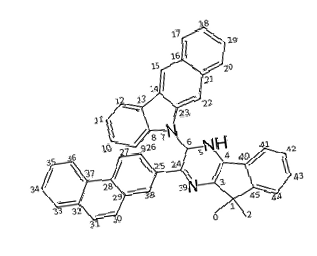 CC1(C)C2=C(NC(n3c4ccccc4c4cc5ccccc5cc43)C(c3ccc4c(ccc5ccccc54)c3)=N2)c2ccccc21